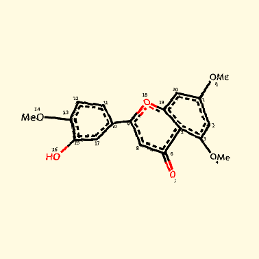 COc1cc(OC)c2c(=O)cc(-c3ccc(OC)c(O)c3)oc2c1